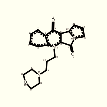 O=C1c2c(c(=O)c3ccccc3n2CCCN2CCOCC2)-c2cccn21